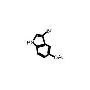 CC(=O)Oc1ccc2[nH]cc(Br)c2c1